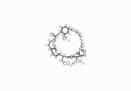 Cc1c2ccc3c1nnn3CCCCCOc1ccc(c(C(F)(F)F)c1)C(=O)N1CCc3ccc(cc3C1)C2CC(=O)O